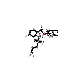 CS(=O)(=O)N1C2CCC1CC(NC(=O)c1ccc(F)cc1NS(=O)(=O)CCC(F)(F)F)C2